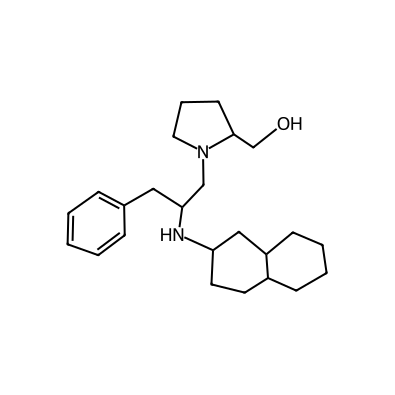 OCC1CCCN1CC(Cc1ccccc1)NC1CCC2CCCCC2C1